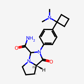 CN(C)C1(c2ccc(N3C(=O)[C@@H]4[CH]CCN4C3C(N)=O)cc2)CCC1